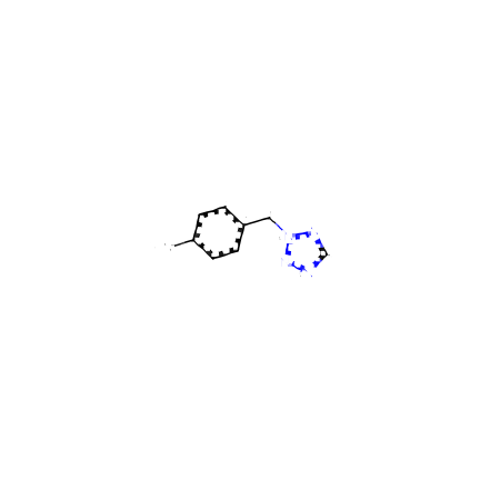 O=[N+]([O-])c1ccc(Cn2ncnn2)cc1